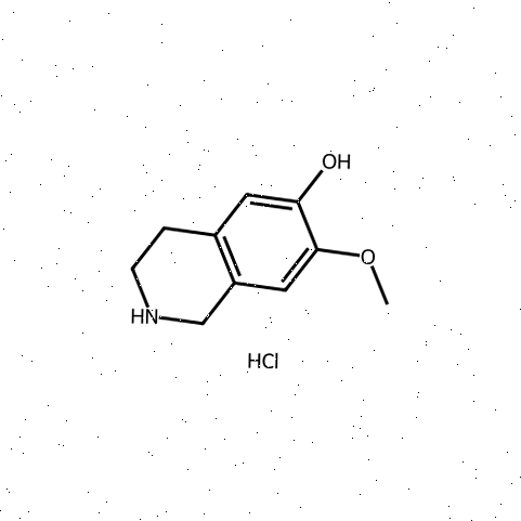 COc1cc2c(cc1O)CCNC2.Cl